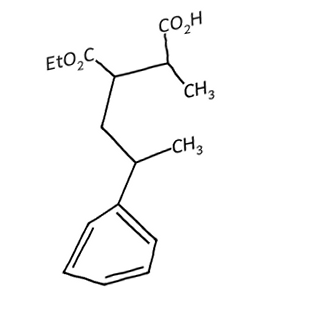 CCOC(=O)C(CC(C)c1ccccc1)C(C)C(=O)O